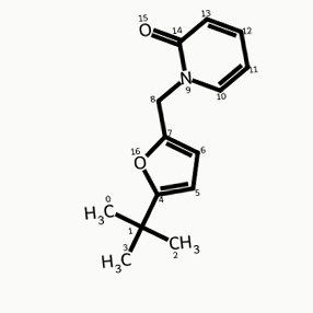 CC(C)(C)c1ccc(Cn2ccccc2=O)o1